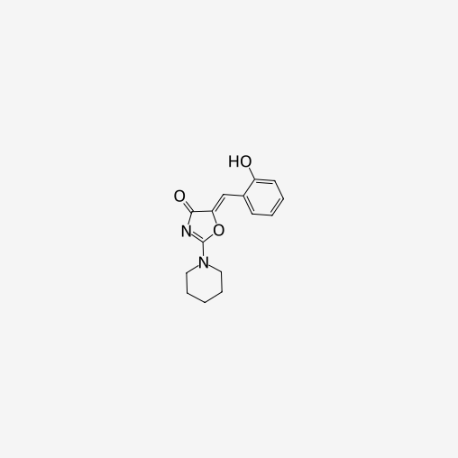 O=C1N=C(N2CCCCC2)O/C1=C\c1ccccc1O